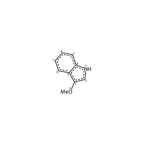 COc1[c][nH]c2ccccc12